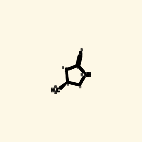 C[C@@H]1CNC(=S)S1